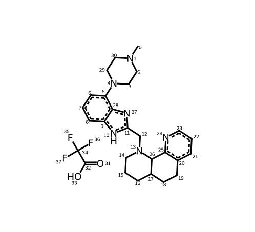 CN1CCN(c2cccc3[nH]c(CN4CCCC5CCc6cccnc6C54)nc23)CC1.O=C(O)C(F)(F)F